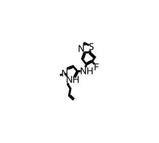 C=CCCNN(C)/C=C\C(=C)Nc1cc2ncsc2cc1F